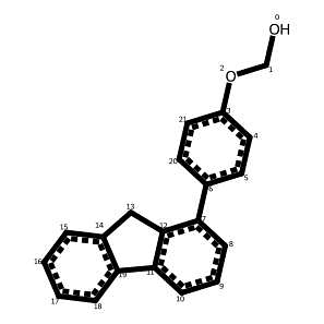 OCOc1ccc(-c2cccc3c2Cc2ccccc2-3)cc1